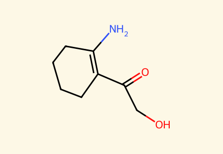 NC1=C(C(=O)CO)CCCC1